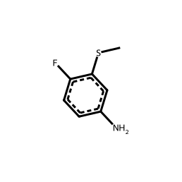 CSc1cc(N)ccc1F